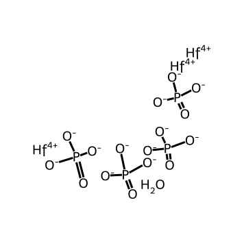 O.O=P([O-])([O-])[O-].O=P([O-])([O-])[O-].O=P([O-])([O-])[O-].O=P([O-])([O-])[O-].[Hf+4].[Hf+4].[Hf+4]